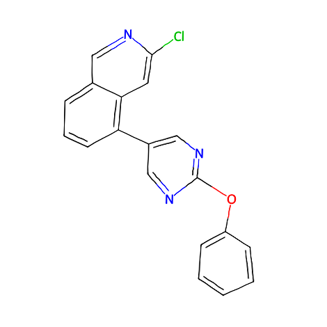 Clc1cc2c(-c3cnc(Oc4ccccc4)nc3)cccc2cn1